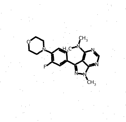 CN(C)c1ncnc2c1c(-c1ccc(N3CCOCC3)c(F)c1)nn2C